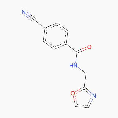 N#Cc1ccc(C(=O)NCc2ncco2)cc1